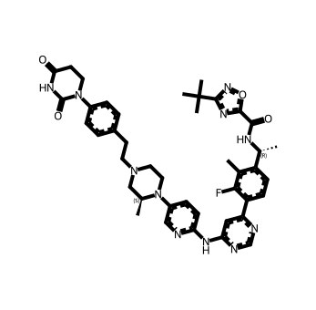 Cc1c([C@@H](C)NC(=O)c2nc(C(C)(C)C)no2)ccc(-c2cc(Nc3ccc(N4CCN(CCc5ccc(N6CCC(=O)NC6=O)cc5)C[C@@H]4C)cn3)ncn2)c1F